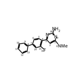 CNc1cc(-c2ccc(-c3ccccc3)cc2F)nc(N)n1